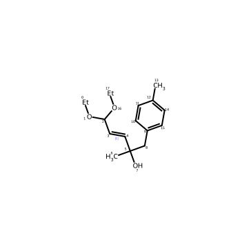 CCOC(/C=C/C(C)(O)Cc1ccc(C)cc1)OCC